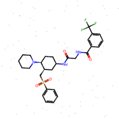 O=C(CNC(=O)c1cccc(C(F)(F)F)c1)NC1CC[C@H](N2CCCCC2)[C@H](CS(=O)(=O)c2ccccc2)C1